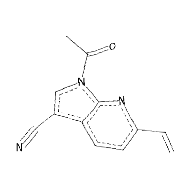 C=Cc1ccc2c(C#N)cn(C(C)=O)c2n1